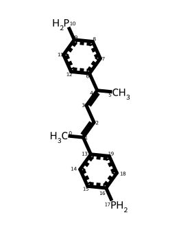 C/C(=C\C=C(/C)c1ccc(P)cc1)c1ccc(P)cc1